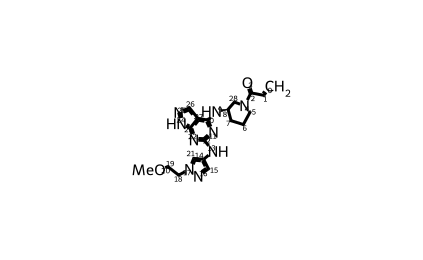 C=CC(=O)N1CCC[C@@H](Nc2nc(Nc3cnn(CCOC)c3)nc3[nH]ncc23)C1